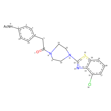 CC(=O)Nc1ccc(CC(=O)N2CCN(c3nc4c(Cl)cccc4s3)CC2)cc1